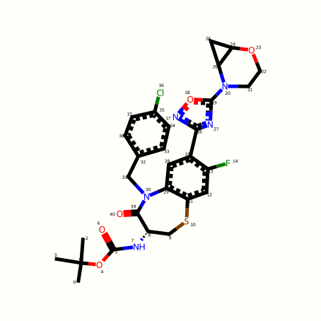 CC(C)(C)OC(=O)N[C@H]1CSc2cc(F)c(-c3noc(N4CCOC5CC54)n3)cc2N(Cc2ccc(Cl)cc2)C1=O